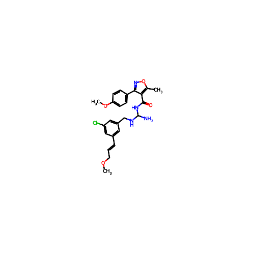 COC/C=C/c1cc(Cl)cc(CNC(N)NC(=O)c2c(-c3ccc(OC)cc3)noc2C)c1